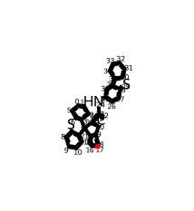 c1ccc2c(c1)Sc1ccccc1C21c2ccccc2-c2ccc(Nc3ccc4sc5ccccc5c4c3)cc21